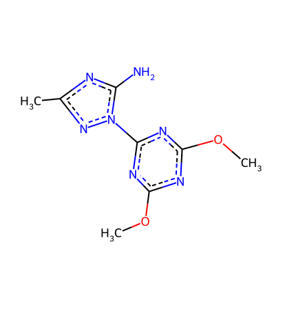 COc1nc(OC)nc(-n2nc(C)nc2N)n1